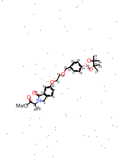 COC(=O)C(C(C)C)N1Cc2ccc(OCCOCc3ccc(B4OC(C)(C)C(C)(C)O4)cc3)cc2C1=O